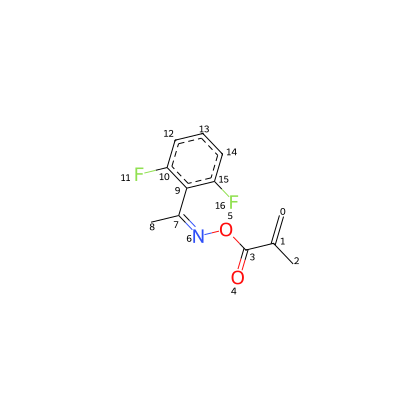 C=C(C)C(=O)O/N=C(/C)c1c(F)cccc1F